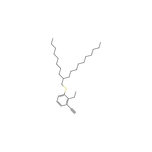 C#Cc1cccc(SCC(CCCCCCCC)CCCCCCCCCC)c1CC